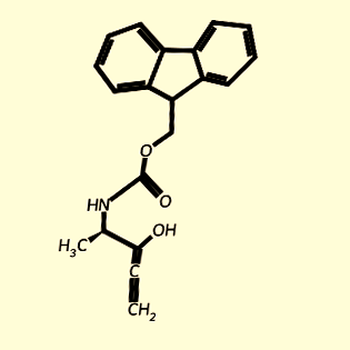 C=C=C(O)[C@@H](C)NC(=O)OCC1c2ccccc2-c2ccccc21